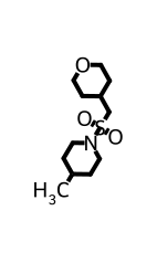 CC1CCN(S(=O)(=O)CC2CCOCC2)CC1